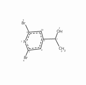 CC(O)c1cc(Br)nc(Br)c1